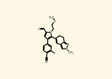 COCCn1c(C=O)cc(-c2ccc(C#N)c(F)c2)c1C1=Cc2cn(C)nc2CC1